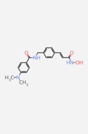 CN(C)c1ccc(C(=O)NCc2ccc(C=CC(=O)NO)cc2)cc1